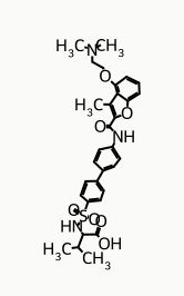 Cc1c(C(=O)Nc2ccc(-c3ccc(S(=O)(=O)NC(C(=O)O)C(C)C)cc3)cc2)oc2cccc(OCCN(C)C)c12